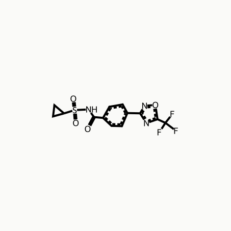 O=C(NS(=O)(=O)C1CC1)c1ccc(-c2noc(C(F)(F)F)n2)cc1